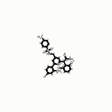 Cc1ccc(S(=O)(=O)NCc2cc(-c3ccc(F)cc3C)nc(C(C(N)=O)c3c(Cl)cccc3Cl)c2)cc1